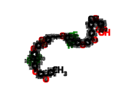 Cc1ccc(C(=O)c2ccc(Oc3ccc(C(c4ccc(Oc5ccc(S(=O)(=O)c6ccc(CCCCOc7ccc(C(c8ccc(Oc9ccc(C(=O)c%10ccc(-c%11ccc(C)c(C(=O)c%12cccc(S(=O)(=O)O)c%12)c%11)cc%10)cc9)cc8)(C(F)(F)F)C(F)(F)F)cc7)cc6)cc5)cc4)(C(F)(F)F)C(F)(F)F)cc3)cc2)cc1